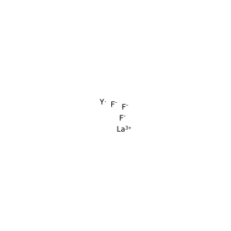 [F-].[F-].[F-].[La+3].[Y]